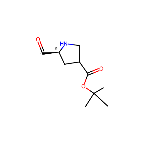 CC(C)(C)OC(=O)C1CN[C@H]([C]=O)C1